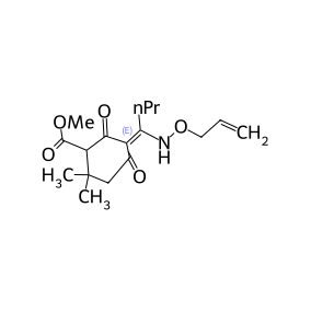 C=CCON/C(CCC)=C1\C(=O)CC(C)(C)C(C(=O)OC)C1=O